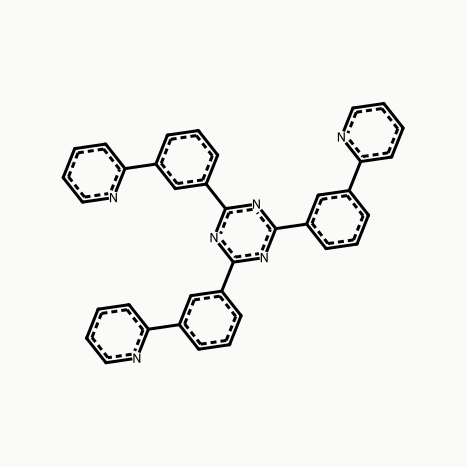 c1ccc(-c2cccc(-c3nc(-c4cccc(-c5ccccn5)c4)nc(-c4cccc(-c5ccccn5)c4)n3)c2)nc1